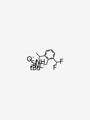 CC(N[S@+]([O-])C(C)(C)C)c1cccc(C(F)F)c1CC#N